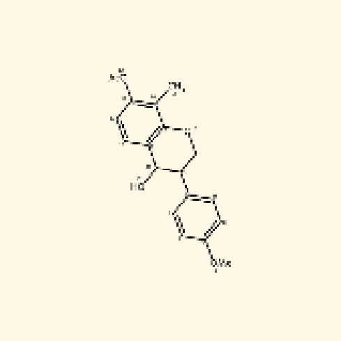 COc1ccc(C2COc3c(ccc(OC(C)=O)c3C)C2O)cc1